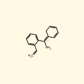 C=Cc1ccccc1/C(N)=C1/C=CC=CC1